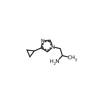 CC(N)Cn1cnc(C2CC2)c1